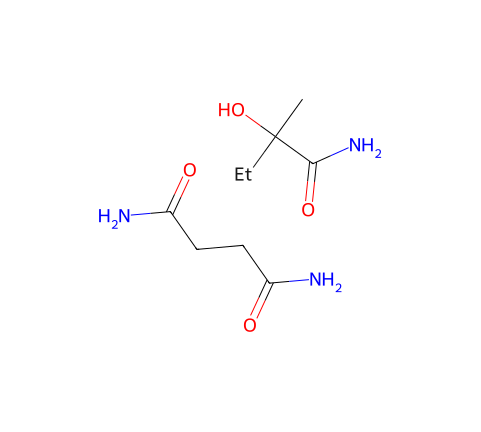 CCC(C)(O)C(N)=O.NC(=O)CCC(N)=O